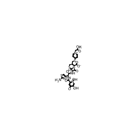 Nc1nc(C(NC(=O)c2cc(=O)c(O)cn2O)C(=O)N[C@@H]2C(=O)N3C(C(=O)[O-])=C(CSc4cc[n+](CC(=O)O)cc4)CS[C@H]23)cs1